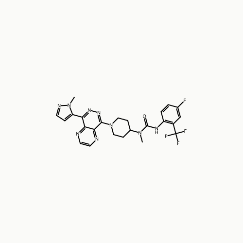 CN(C(=O)Nc1ccc(F)cc1C(F)(F)F)C1CCN(c2nnc(-c3ccnn3C)c3nccnc23)CC1